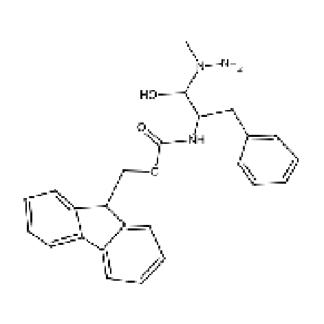 CN(N)C(O)C(Cc1ccccc1)NC(=O)OCC1c2ccccc2-c2ccccc21